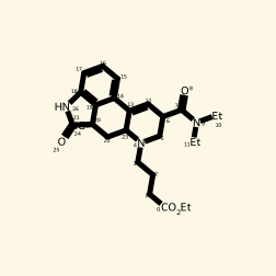 CCOC(=O)CCCN1CC(C(=O)N(CC)CC)C=C2c3cccc4c3C(O)(CC21)C(=O)N4